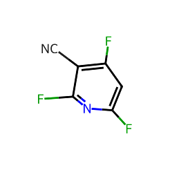 N#Cc1c(F)cc(F)nc1F